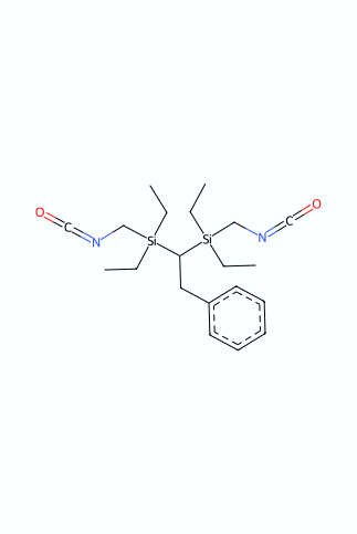 CC[Si](CC)(CN=C=O)C(Cc1ccccc1)[Si](CC)(CC)CN=C=O